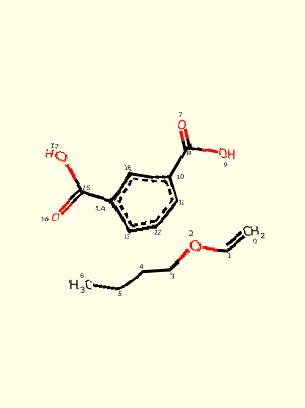 C=COCCCC.O=C(O)c1cccc(C(=O)O)c1